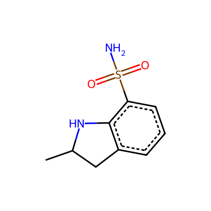 CC1Cc2cccc(S(N)(=O)=O)c2N1